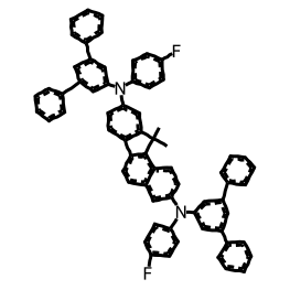 CC1(C)c2cc(N(c3ccc(F)cc3)c3cc(-c4ccccc4)cc(-c4ccccc4)c3)ccc2-c2ccc3cc(N(c4ccc(F)cc4)c4cc(-c5ccccc5)cc(-c5ccccc5)c4)ccc3c21